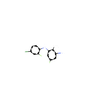 Cc1c(N)cc(F)cc1Nc1ccc(Cl)cc1F